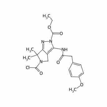 CCOC(=O)n1nc2c(c1NC(=O)Cc1ccc(OC)cc1)CN(C(=O)Cl)C2(C)C